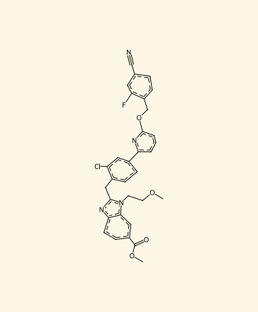 COCCn1c(Cc2ccc(-c3cccc(OCc4ccc(C#N)cc4F)n3)cc2Cl)nc2ccc(C(=O)OC)cc21